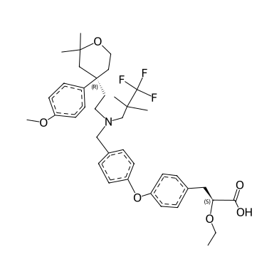 CCO[C@@H](Cc1ccc(Oc2ccc(CN(CC[C@@]3(c4ccc(OC)cc4)CCOC(C)(C)C3)CC(C)(C)C(F)(F)F)cc2)cc1)C(=O)O